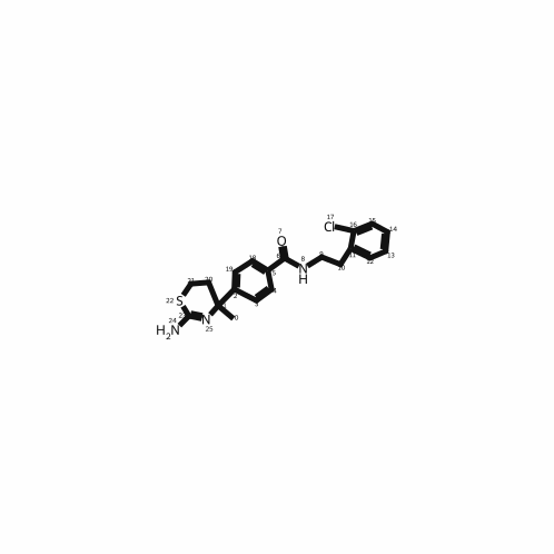 CC1(c2ccc(C(=O)NCCc3ccccc3Cl)cc2)CCSC(N)=N1